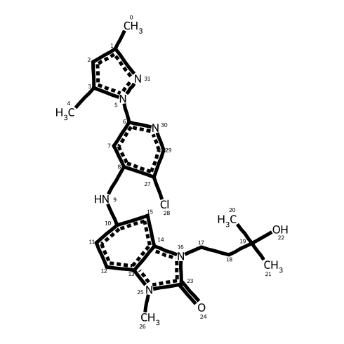 Cc1cc(C)n(-c2cc(Nc3ccc4c(c3)n(CCC(C)(C)O)c(=O)n4C)c(Cl)cn2)n1